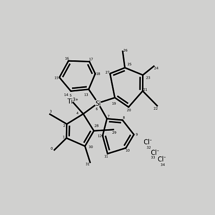 CC1=C(C)[C]([Ti+3])([Si](c2ccccc2)(c2ccccc2)c2cc(C)c(C)c(C)c2)C(C)=C1C.[Cl-].[Cl-].[Cl-]